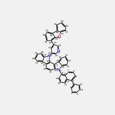 c1ccc(-c2cccc3c(-n4c5ccccc5c5c4ccc4c6ccccc6n(-c6cncc(-c7cccc8c7oc7ccccc78)c6)c45)cccc23)cc1